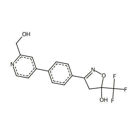 OCc1cc(-c2ccc(C3=NOC(O)(C(F)(F)F)C3)cc2)ccn1